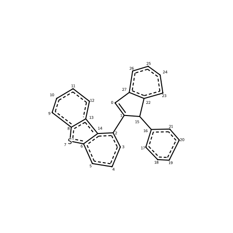 C1=C(c2cccc3sc4ccccc4c23)C(c2ccccc2)c2ccccc21